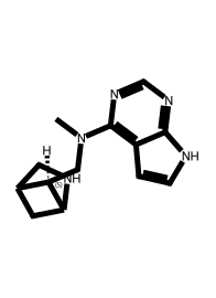 CN(C[C@@H]1C2CNC1C2)c1ncnc2[nH]ccc12